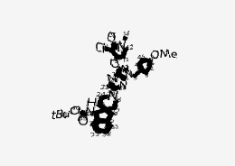 COc1ccc(Cn2nc(Oc3ccn(C)c(=O)c3Cl)c3ncc(N4CCC5(CC4)Cc4ccccc4[C@H]5NC(=O)OC(C)(C)C)nc32)cc1